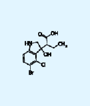 CCC(C(=O)O)C1(O)CNc2ccc(Br)c(Cl)c21